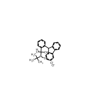 CC(C)(C)[N]([Ti+2])C(C)(C)c1ccccc1C1c2ccccc2-c2ccccc21.[Cl-].[Cl-]